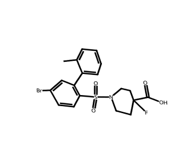 Cc1ccccc1-c1cc(Br)ccc1S(=O)(=O)N1CCC(F)(C(=O)O)CC1